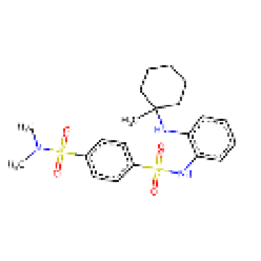 CN(C)S(=O)(=O)c1ccc(S(=O)(=O)Nc2ccccc2NC2(C)CCCCC2)cc1